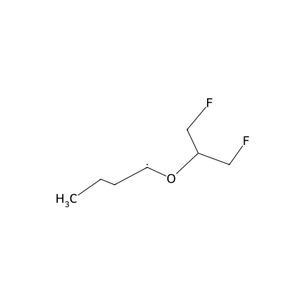 CCC[CH]OC(CF)CF